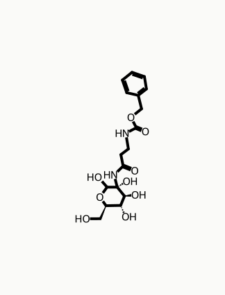 O=C(CCNC(=O)OCc1ccccc1)N[C@]1(O)C(O)O[C@H](CO)[C@@H](O)[C@@H]1O